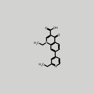 CCc1cc(-c2ccc3c(=O)c(C(=O)O)cn(CC)c3c2)ccn1